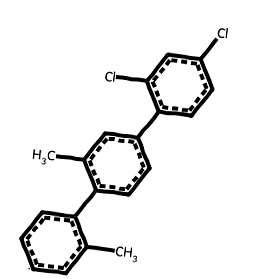 Cc1c[c]ccc1-c1ccc(-c2ccc(Cl)cc2Cl)cc1C